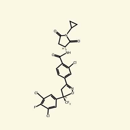 O=C(N[C@@H]1CC(=O)N(C2CC2)C1=O)c1ccc(C2=NO[C@@](c3cc(Cl)c(F)c(Cl)c3)(C(F)(F)F)C2)cc1Cl